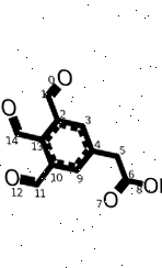 O=Cc1cc(CC(=O)O)cc(C=O)c1C=O